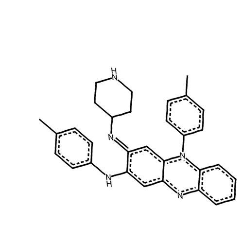 Cc1ccc(Nc2cc3nc4ccccc4n(-c4ccc(C)cc4)c-3cc2=NC2CCNCC2)cc1